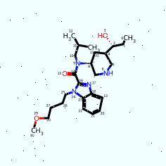 CC[C@@H](O)C1CNC[C@@H](N(CC(C)C)C(=O)c2nc3ccccc3n2CCCCOC)C1